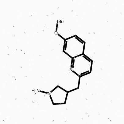 CC(C)(C)Oc1ccc2ccc(CC3CCN(N)C3)nc2c1